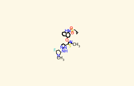 Cc1nc(Oc2ccc(NS(=O)(=O)CC3CC3)c3ccccc23)c(-c2ccnc(N[C@H]3C[C@H](F)CN(C)C3)n2)s1